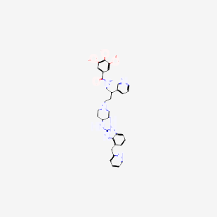 COc1cc(C(=O)N(C)CC(CCN2CCC(Nc3nc4c(Cc5ccccn5)cccc4[nH]3)CC2)c2cccnc2)cc(OC)c1OC